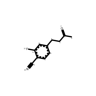 CC(=O)CCc1ccc(C#N)c(F)c1